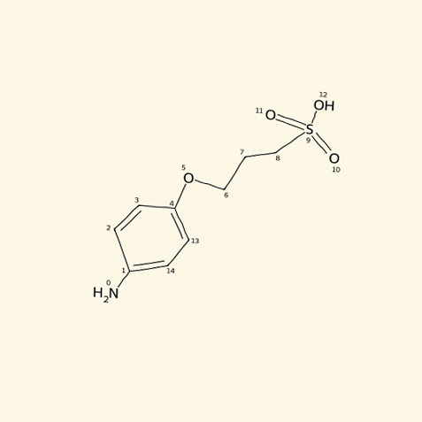 Nc1ccc(OCCCS(=O)(=O)O)cc1